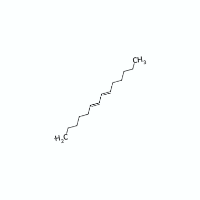 [CH2]CCCCC=CC=CCCCCC